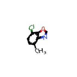 Cc1ccc(Cl)c2ocnc12